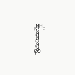 CC(C)(C)OC(=O)N1CCN(c2ccc(N3CCN(c4ccc(N)nc4)CC3)cc2)CC1